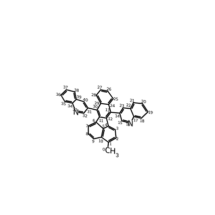 Cc1ccc2c3c(cccc13)-c1c-2c(-c2cnc3ccccc3c2)c2ccccc2c1-c1cnc2ccccc2c1